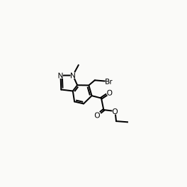 CCOC(=O)C(=O)c1ccc2cnn(C)c2c1CBr